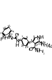 CC(=O)Nc1[nH]cc(-c2ccc(NC(=O)Nc3ccccc3F)cc2)c1C(N)=O